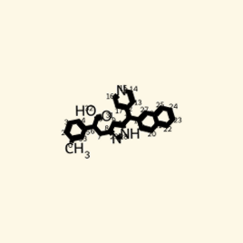 Cc1cccc(C(Cc2cc(C(c3ccncc3)c3ccc4ccccc4c3)[nH]n2)C(=O)O)c1